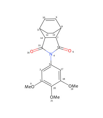 COc1cc(N2C(=O)C3C4C=CC(CC4)C3C2=O)cc(OC)c1OC